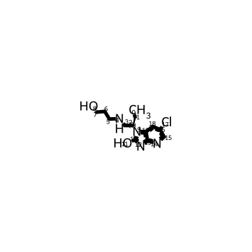 CC[C@H](CNCCCO)n1c(O)nc2ncc(Cl)cc21